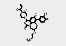 C=CC(=O)N1[C@H](C)CN(c2nc(=O)n3c4c(c(-c5ccc(F)c(Cl)c5)c(Cl)cc24)SCC(OCCN)C3)C[C@@H]1C